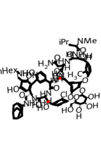 CCCCCCNCc1c(O)cc2c(c1O)-c1cc(ccc1O)[C@H]1NC(=O)[C@@H]3NC(=O)[C@H](CC(N)=O)NC(=O)[C@H](NC(=O)[C@@H](CC(C)C)NC)[C@H](O)c4ccc(c(C)c4)Oc4cc3cc(c4O[C@@H]3O[C@H](CO)[C@@H](O)[C@H](O)[C@H]3O)Oc3ccc(cc3Cl)[C@@H](O)[C@H](NC1=O)C(=O)N[C@@H]2C(=O)NC1C2CC3CC(C2)CC1C3